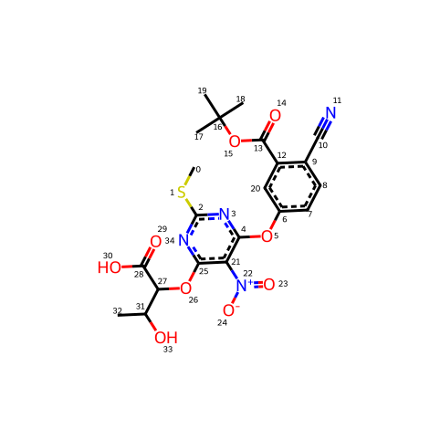 CSc1nc(Oc2ccc(C#N)c(C(=O)OC(C)(C)C)c2)c([N+](=O)[O-])c(OC(C(=O)O)C(C)O)n1